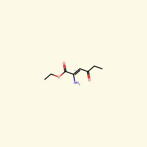 CCOC(=O)/C(N)=C/C(=O)CC